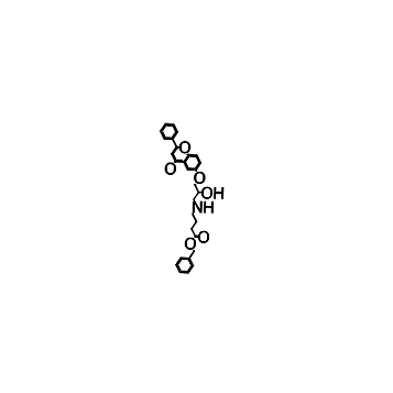 O=C(CCCNCC(O)COc1ccc2oc(-c3ccccc3)cc(=O)c2c1)OCc1ccccc1